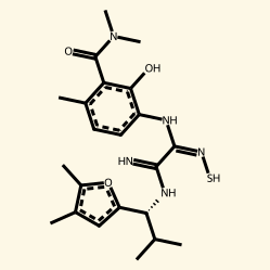 Cc1cc([C@H](NC(=N)/C(=N\S)Nc2ccc(C)c(C(=O)N(C)C)c2O)C(C)C)oc1C